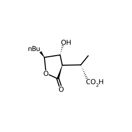 CCCC[C@@H]1OC(=O)[C@H]([C@H](C)C(=O)O)[C@H]1O